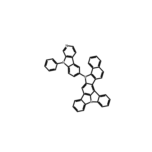 c1ccc(-n2c3ccc(-n4c5cc6c7ccccc7n7c8ccccc8c(c5c5ccc8ccccc8c54)c67)cc3c3ccncc32)cc1